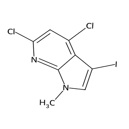 Cn1cc(I)c2c(Cl)cc(Cl)nc21